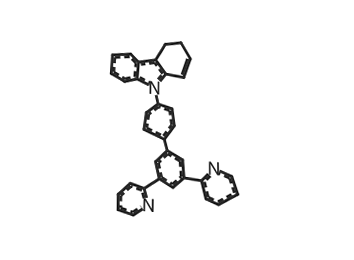 C1=Cc2c(c3ccccc3n2-c2ccc(-c3cc(-c4ccccn4)cc(-c4ccccn4)c3)cc2)CC1